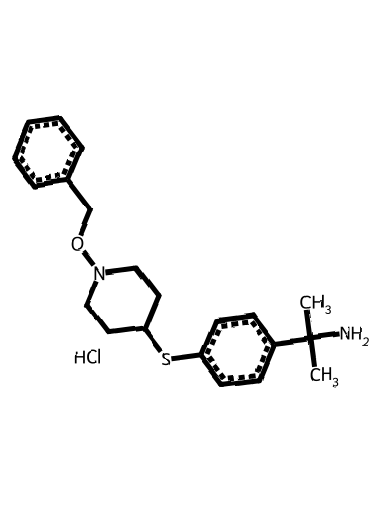 CC(C)(N)c1ccc(SC2CCN(OCc3ccccc3)CC2)cc1.Cl